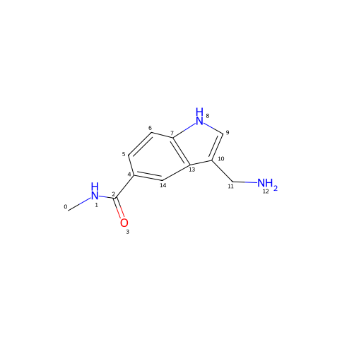 CNC(=O)c1ccc2[nH]cc(CN)c2c1